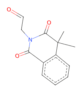 CC1(C)C(=O)N(CC=O)C(=O)c2ccccc21